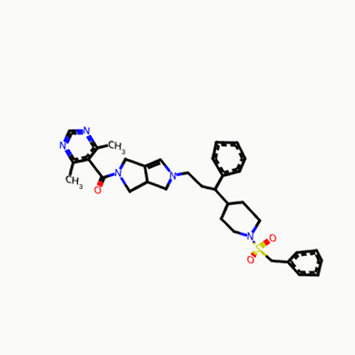 Cc1ncnc(C)c1C(=O)N1CC2=CN(CCC(c3ccccc3)C3CCN(S(=O)(=O)Cc4ccccc4)CC3)CC2C1